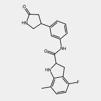 Cc1ccc(F)c2c1NC(C(=O)Nc1cccc(C3CNC(=O)C3)c1)C2